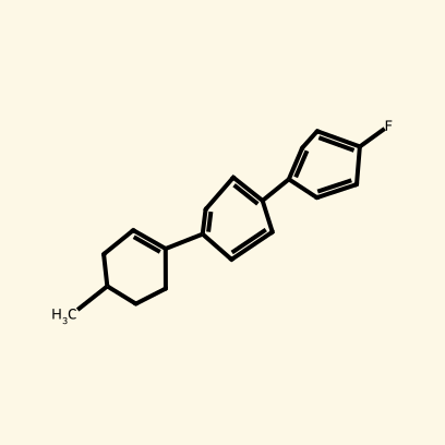 CC1CC=C(c2ccc(-c3ccc(F)cc3)cc2)CC1